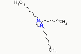 CCCCCCCCN1C=CN(CCCCCCCC)C1CCCCCC